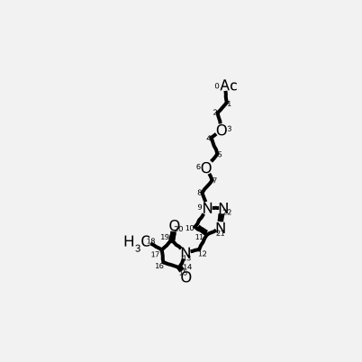 CC(=O)CCOCCOCCn1cc(CN2C(=O)CC(C)C2=O)nn1